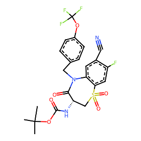 CC(C)(C)OC(=O)N[C@H]1CS(=O)(=O)c2cc(F)c(C#N)cc2N(Cc2ccc(OC(F)(F)F)cc2)C1=O